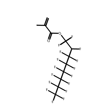 C=C(C)C(=O)OC(F)(F)C(F)C(F)(F)C(F)(F)C(F)(F)C(F)(F)C(F)(F)C(F)(F)F